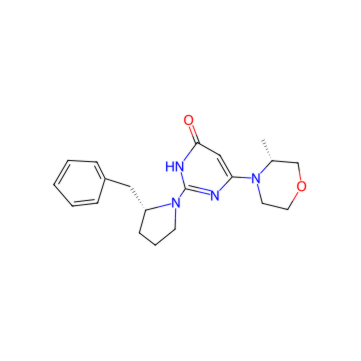 C[C@@H]1COCCN1c1cc(=O)[nH]c(N2CCC[C@@H]2Cc2ccccc2)n1